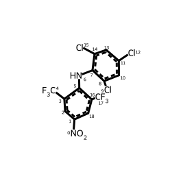 O=[N+]([O-])c1cc(C(F)(F)F)c(Nc2c(Cl)cc(Cl)cc2Cl)c(C(F)(F)F)c1